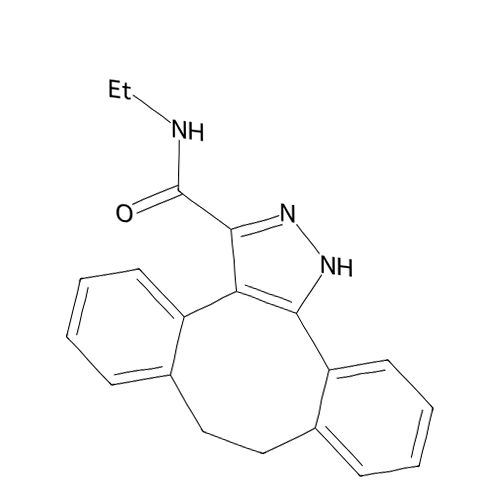 CCNC(=O)c1n[nH]c2c1-c1ccccc1CCc1ccccc1-2